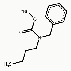 CC(C)(C)OC(=O)N(CCC[SiH3])Cc1ccccc1